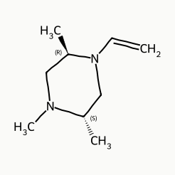 C=CN1C[C@H](C)N(C)C[C@H]1C